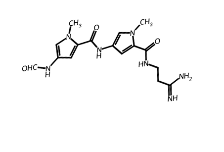 Cn1cc(NC(=O)c2cc(NC=O)cn2C)cc1C(=O)NCCC(=N)N